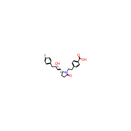 O=C(O)c1ccc(CCN2C(=O)CC[C@@H]2/C=C/[C@@H](O)Cc2ccc(F)cc2)cc1